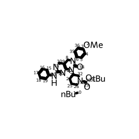 CCCCC.COc1ccc(N2Cc3cnc(Nc4ccccc4)nc3N(C3CCCN(C(=O)OC(C)(C)C)C3)C2=O)cc1